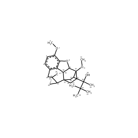 COc1ccc2c3c1OC1C4(OC)CCC5(CC4C(C)(O)C(C)(C)C)C4C[C@]4(C2)C[C@]315